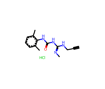 C#CCNC(=NC)NC(=O)Nc1c(C)cccc1C.Cl